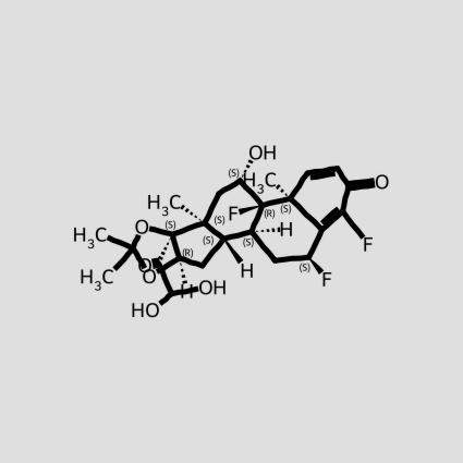 CC1(C)O[C@@H]2C[C@H]3[C@@H]4C[C@H](F)C5=C(F)C(=O)C=C[C@]5(C)[C@@]4(F)[C@@H](O)C[C@]3(C)[C@]2(C(=O)C(O)O)O1